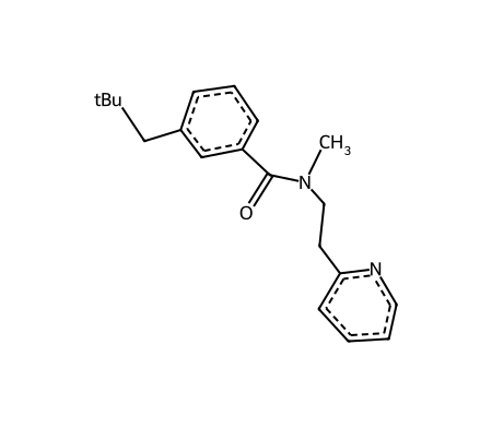 CN(CCc1ccccn1)C(=O)c1cccc(CC(C)(C)C)c1